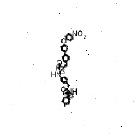 Cc1ccc(S(=O)(=O)NC(=O)Cc2ccc(NC3=NC(=O)/C(=C\c4ccc(-c5ccc(Oc6ccc([N+](=O)[O-])cc6)cc5)cc4)S3)cc2)cc1